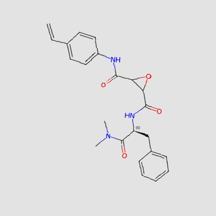 C=Cc1ccc(NC(=O)C2OC2C(=O)N[C@@H](Cc2ccccc2)C(=O)N(C)C)cc1